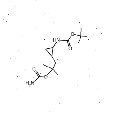 CC(C)(C)OC(=O)NC1CC1CC(C)(C)OC(N)=O